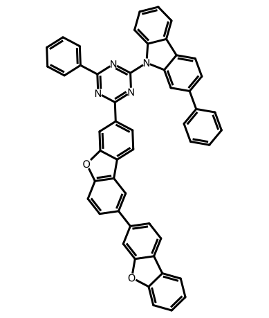 c1ccc(-c2ccc3c4ccccc4n(-c4nc(-c5ccccc5)nc(-c5ccc6c(c5)oc5ccc(-c7ccc8c(c7)oc7ccccc78)cc56)n4)c3c2)cc1